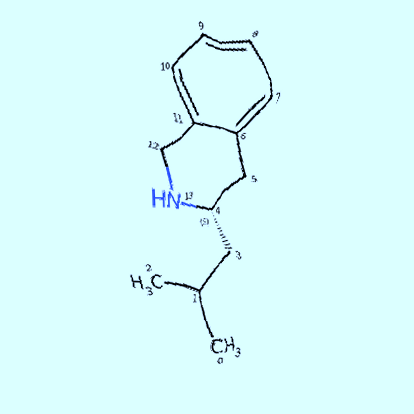 CC(C)C[C@H]1Cc2ccccc2CN1